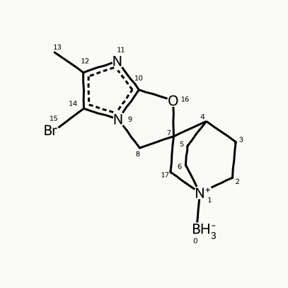 [BH3-][N+]12CCC(CC1)C1(Cn3c(nc(C)c3Br)O1)C2